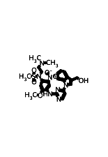 COc1cc(N(CCN(C)C)S(C)(=O)=O)c([N+](=O)[O-])cc1Nc1nccc(-n2cc(CO)c3ccccc32)n1